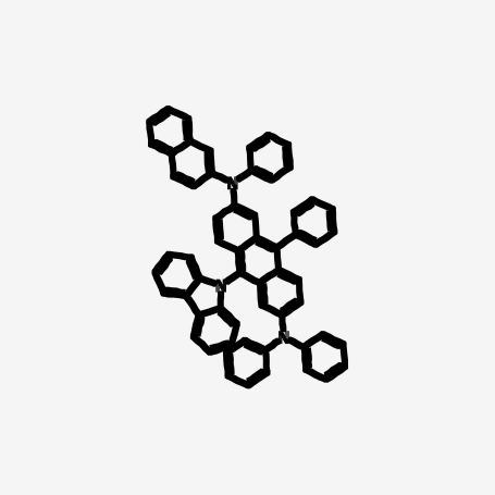 c1ccc(-c2c3cc(N(c4ccccc4)c4ccc5ccccc5c4)ccc3c(-n3c4ccccc4c4ccccc43)c3cc(N(c4ccccc4)c4ccccc4)ccc23)cc1